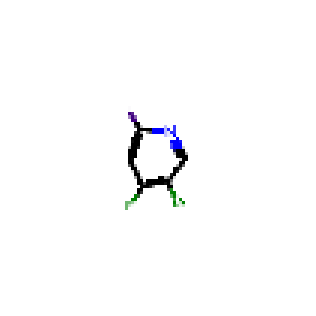 Fc1cc(I)ncc1Br